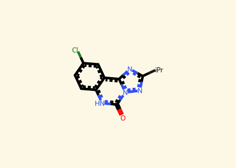 CC(C)c1nc2c3cc(Cl)ccc3[nH]c(=O)n2n1